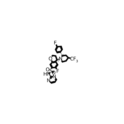 O=S(=O)(Nc1ncccn1)c1cc2c(cc1F)[C@H](N1CCC(C(F)(F)F)C[C@H]1c1ccc(F)cc1)CCO2